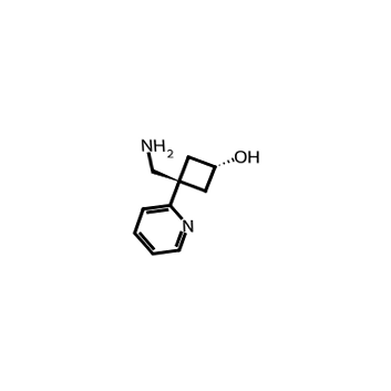 NC[C@]1(c2ccccn2)C[C@@H](O)C1